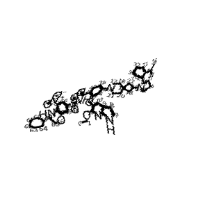 CCOc1nc2[nH]ccc2cc1Oc1cc(N2CCC3(CC2)CC(N2CCC[C@@H]2c2ccccc2C(C)C)C3)ccc1C(=O)NS(=O)(=O)c1cc2c(c([N+](=O)[O-])c1)N[C@@H](C1CCCCC1)CO2